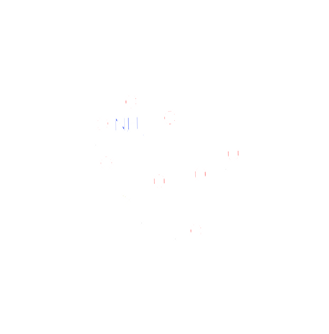 COc1cccc(SC2OC(COC(C)=O)C(OC(C)=O)C(N)C2OC(C)=O)c1